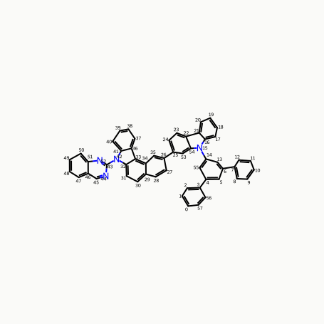 c1ccc(-c2cc(-c3ccccc3)cc(-n3c4ccccc4c4ccc(-c5ccc6ccc7c(c6c5)c5ccccc5n7-c5ncc6ccccc6n5)cc43)c2)cc1